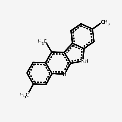 Cc1ccc2c(C)c3c(nc2c1)[nH]c1cc(C)ccc13